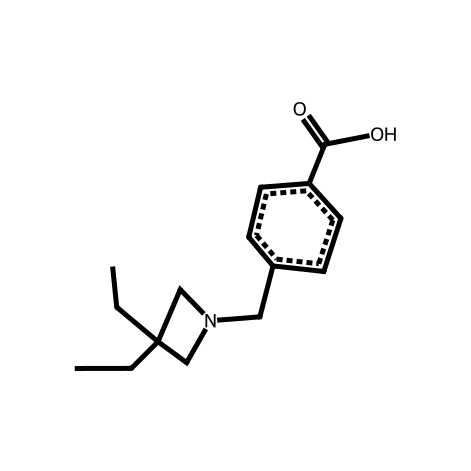 CCC1(CC)CN(Cc2ccc(C(=O)O)cc2)C1